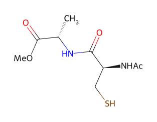 COC(=O)[C@H](C)NC(=O)[C@H](CS)NC(C)=O